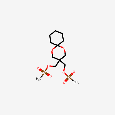 CS(=O)(=O)OCC1(COS(C)(=O)=O)COC2(CCCCC2)OC1